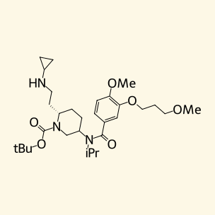 COCCCOc1cc(C(=O)N(C(C)C)C2CC[C@@H](CCNC3CC3)N(C(=O)OC(C)(C)C)C2)ccc1OC